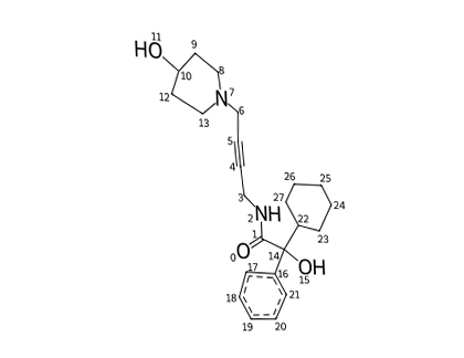 O=C(NCC#CCN1CCC(O)CC1)C(O)(c1ccccc1)C1CCCCC1